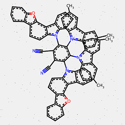 Cc1ccc2c(c1)c1cc(C)ccc1n2-c1c(-n2c3ccc(C)cc3c3cc(C)ccc32)c(-n2c3ccccc3c3c4oc5ccccc5c4ccc32)c(C#N)c(C#N)c1-n1c2ccccc2c2c3oc4ccccc4c3ccc21